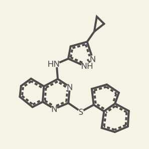 c1ccc2c(Sc3nc(Nc4cc(C5CC5)n[nH]4)c4ccccc4n3)cccc2c1